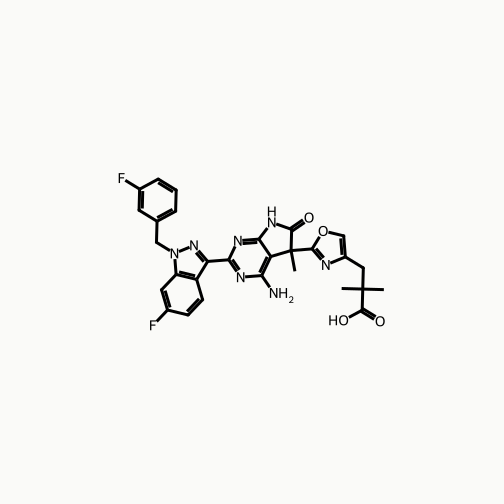 CC(C)(Cc1coc(C2(C)C(=O)Nc3nc(-c4nn(Cc5cccc(F)c5)c5cc(F)ccc45)nc(N)c32)n1)C(=O)O